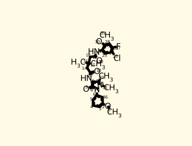 COc1cccc(-n2c(=O)c(NC(=O)CC(C)(C)CC(=O)Nc3cc(Cl)c(F)cc3OC)c(C)n2C)c1